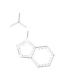 CC(O)On1nnc2ccccc21